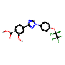 COC(=O)c1ccc(-c2ncn(-c3ccc(OC(F)(F)C(F)(F)F)cc3)n2)cc1OC